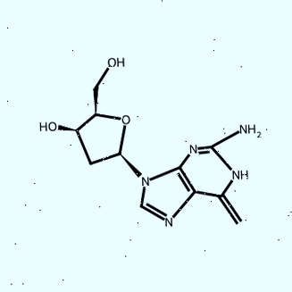 C=C1NC(N)=Nc2c1ncn2[C@H]1C[C@@H](O)[C@@H](CO)O1